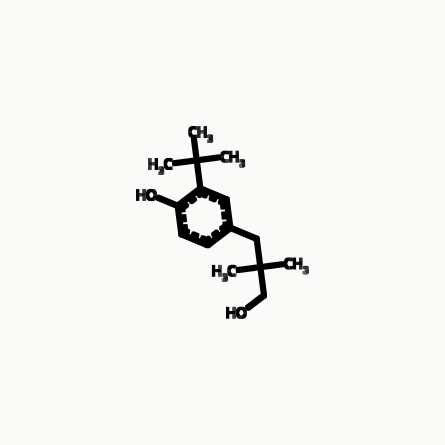 CC(C)(CO)Cc1ccc(O)c(C(C)(C)C)c1